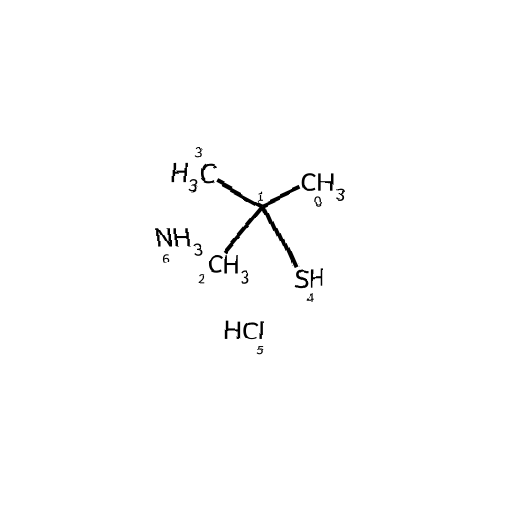 CC(C)(C)S.Cl.N